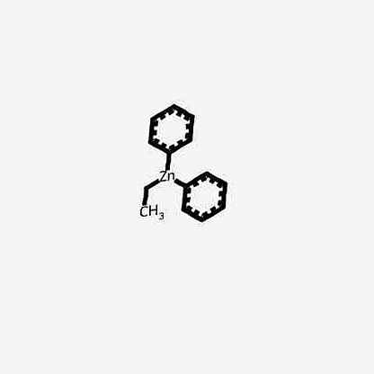 C[CH2][Zn]([c]1ccccc1)[c]1ccccc1